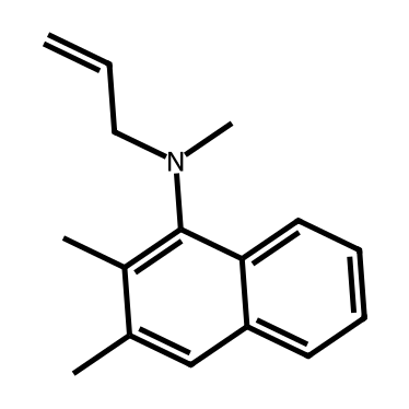 C=CCN(C)c1c(C)c(C)cc2ccccc12